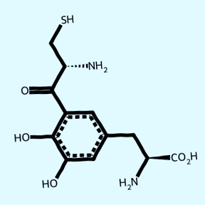 N[C@@H](Cc1cc(O)c(O)c(C(=O)[C@@H](N)CS)c1)C(=O)O